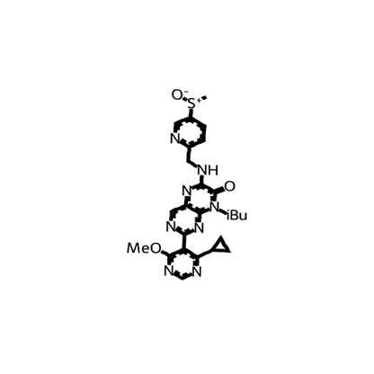 CCC(C)n1c(=O)c(NCc2ccc([S+](C)[O-])cn2)nc2cnc(-c3c(OC)ncnc3C3CC3)nc21